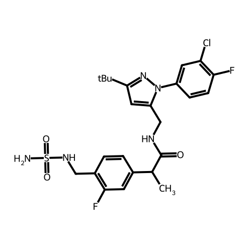 CC(C(=O)NCc1cc(C(C)(C)C)nn1-c1ccc(F)c(Cl)c1)c1ccc(CNS(N)(=O)=O)c(F)c1